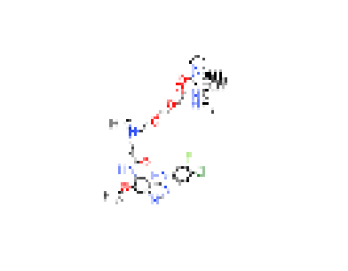 COc1cc2ncnc(Nc3ccc(Cl)c(F)c3)c2cc1NC(=O)/C=C/CN(C)CCOCCOCC(=O)NC(C(=O)N1CCCC1C)C(C)(C)C